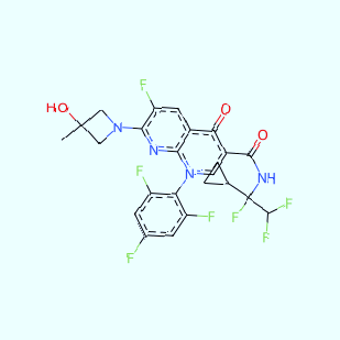 CC1(O)CN(c2nc3c(cc2F)c(=O)c(C(=O)NC(F)(C(F)F)C2CC2)cn3-c2c(F)cc(F)cc2F)C1